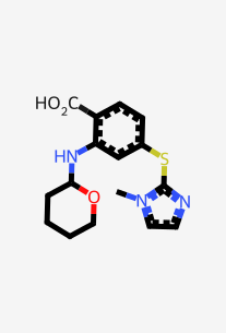 Cn1ccnc1Sc1ccc(C(=O)O)c(NC2CCCCO2)c1